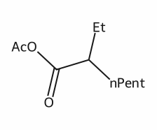 CCCCCC(CC)C(=O)OC(C)=O